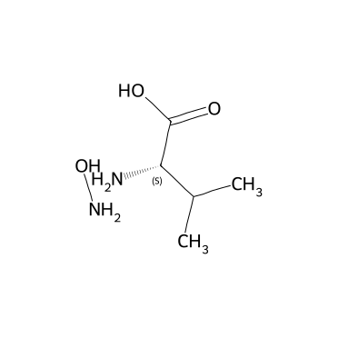 CC(C)[C@H](N)C(=O)O.NO